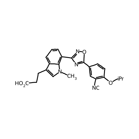 [C-]#[N+]c1cc(-c2nc(-c3cccc4c(CCC(=O)O)cn(C)c34)no2)ccc1OC(C)C